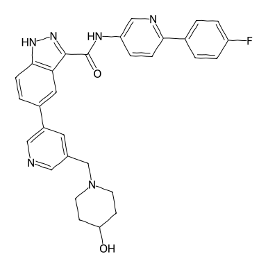 O=C(Nc1ccc(-c2ccc(F)cc2)nc1)c1n[nH]c2ccc(-c3cncc(CN4CCC(O)CC4)c3)cc12